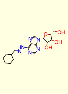 OC[C@H]1O[C@@H](n2cnc3c(N/N=C/C4CCCCC4)ncnc32)C(O)C1O